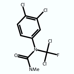 CNC(=O)N(c1ccc(Cl)c(Cl)c1)C(F)(Cl)Cl